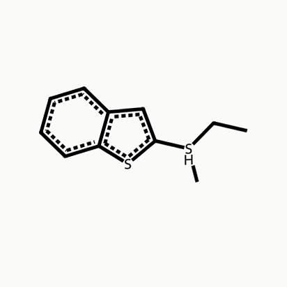 CC[SH](C)c1cc2ccccc2s1